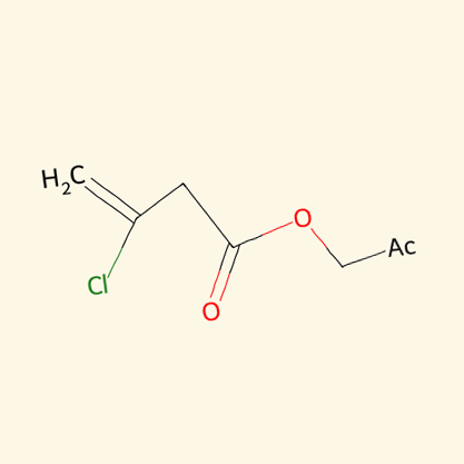 C=C(Cl)CC(=O)OCC(C)=O